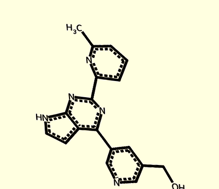 Cc1cccc(-c2nc(-c3cncc(CO)c3)c3cc[nH]c3n2)n1